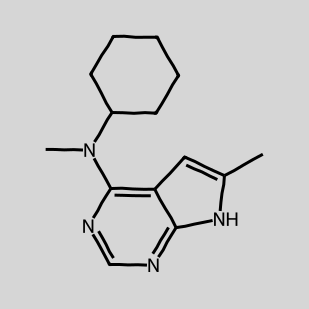 Cc1cc2c(N(C)C3CCCCC3)ncnc2[nH]1